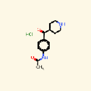 CC(=O)Nc1ccc(C(=O)C2CCNCC2)cc1.Cl